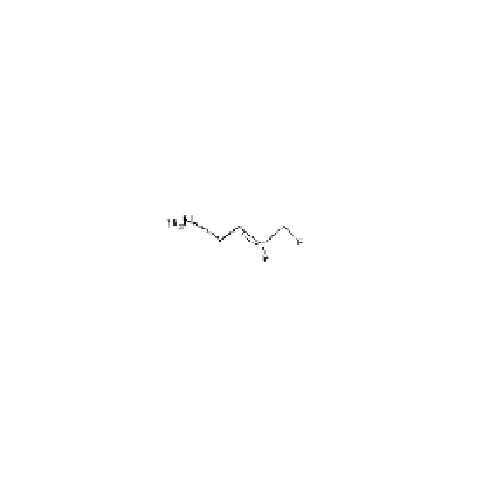 NC/C=C(\F)CF